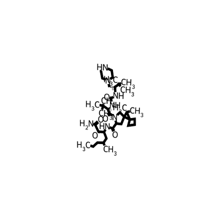 CCCC(C)CC(NC(=O)C1CC2(CN1C(=O)[C@H](NC(=O)N[C@H](CN1CCNCC1)C(C)(C)C)C(C)(C)C)C(C)(C)C21CCC1)C(=O)C(N)=O